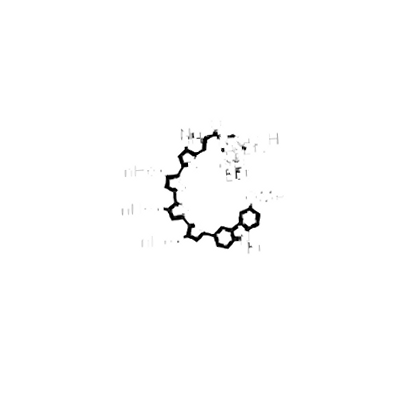 CCCCCCc1cc(-c2sc(-c3sc(-c4sc(-c5ccc6c(c5)c5cc(OC)ccc5n6CC)cc4CCCCCC)cc3CCCCCC)cc2CCCCCC)sc1/C=C(\C#N)C(=O)N(CC(=O)O)C[Si](OCC)(OCC)OCC